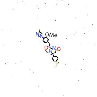 COc1cc(/C=C2\OCCN3C2=NC(=O)CC3(C)c2ccc(F)cc2)ccc1-n1cnc(C)c1